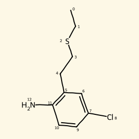 CCSCCc1cc(Cl)ccc1N